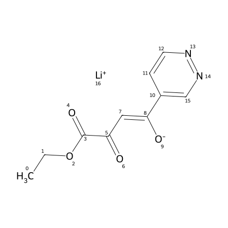 CCOC(=O)C(=O)C=C([O-])c1ccnnc1.[Li+]